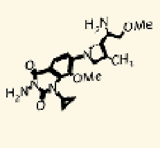 COC[C@H](N)[C@H]1CN(c2ccc3c(=O)n(N)c(=O)n(C4CC4)c3c2OC)C[C@H]1C